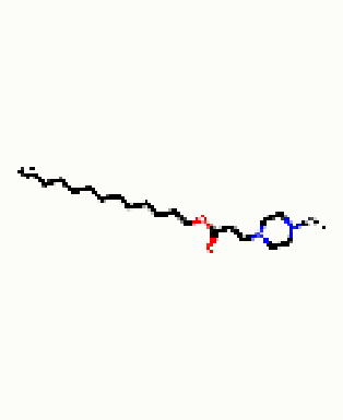 CCCCCCCCCCCCOC(=O)CCN1CCN(C)CC1